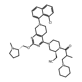 CC(CN1CCCCC1)C(=O)N1CCN(c2nc(OC[C@@H]3CCCN3C)nc3c2CCN(c2cccc4cccc(Cl)c24)C3)C[C@@H]1CC#N